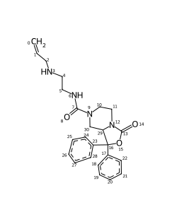 C=CCNCCNC(=O)N1CCN2C(=O)OC(c3ccccc3)(c3ccccc3)C2C1